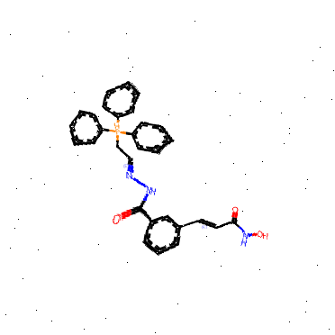 O=C(/C=C/c1cccc(C(=O)N/N=C/C[PH](c2ccccc2)(c2ccccc2)c2ccccc2)c1)NO